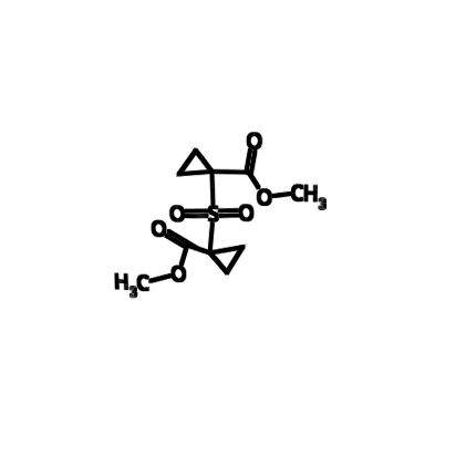 COC(=O)C1(S(=O)(=O)C2(C(=O)OC)CC2)CC1